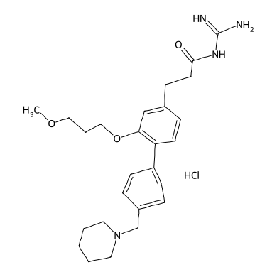 COCCCOc1cc(CCC(=O)NC(=N)N)ccc1-c1ccc(CN2CCCCC2)cc1.Cl